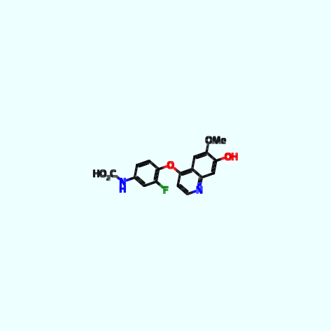 COc1cc2c(Oc3ccc(NC(=O)O)cc3F)ccnc2cc1O